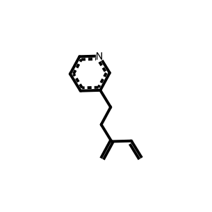 C=CC(=C)CCc1cccnc1